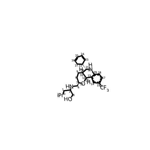 CC(C)CC(CO)NC[C@H]1CC[C@@H]2[C@H](O1)c1cc(C(F)(F)F)ccc1N[C@H]2C1C=CC=CC1